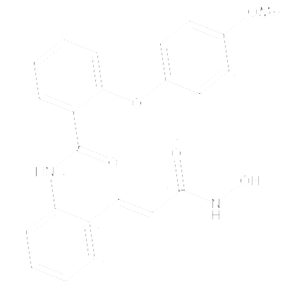 COc1ccc(Oc2ccccc2C(=O)Nc2ccccc2/C=C/C(=O)NO)cc1